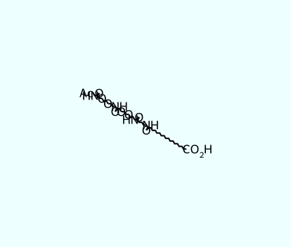 CC(=O)CNC(=O)COCCOCCNC(=O)COCCOCCNC(=O)CCCNC(=O)CCCCCCCCCCCCCCCCC(=O)O